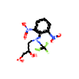 O=[N+]([O-])c1cccc([N+](=O)[O-])c1N(CC(O)CO)C(F)(F)F